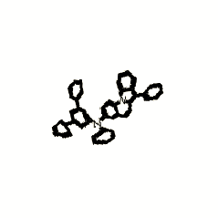 c1ccc(-c2cc(-c3ccccc3)cc(N(c3ccccc3)c3ccc4c(ccc5c(-c6ccccc6)c6ccccc6n54)c3)c2)cc1